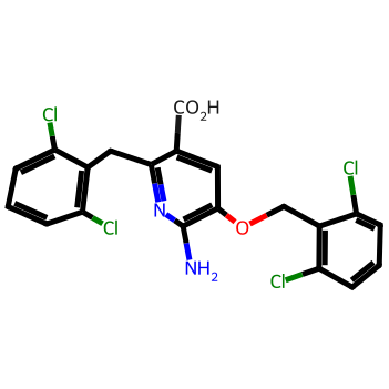 Nc1nc(Cc2c(Cl)cccc2Cl)c(C(=O)O)cc1OCc1c(Cl)cccc1Cl